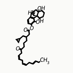 CCC=CC/C=C\C/C=C\CC(=O)CCCC(CC(=O)Oc1ccc2c3c1O[C@@H]1CCC[C@@]4(O)C(C2)NCC[C@]314)CC1CC1